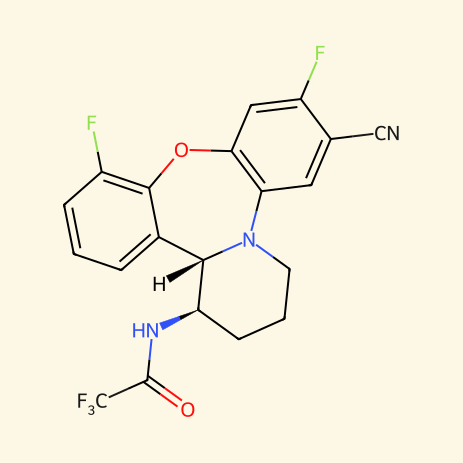 N#Cc1cc2c(cc1F)Oc1c(F)cccc1[C@H]1[C@H](NC(=O)C(F)(F)F)CCCN21